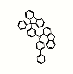 C1=CC2c3ccccc3C(c3ccccc3)(c3cccc(N(c4ccc(-c5ccccc5)cc4)c4cccc5c4-c4ccccc4C5)c3)C2C=C1